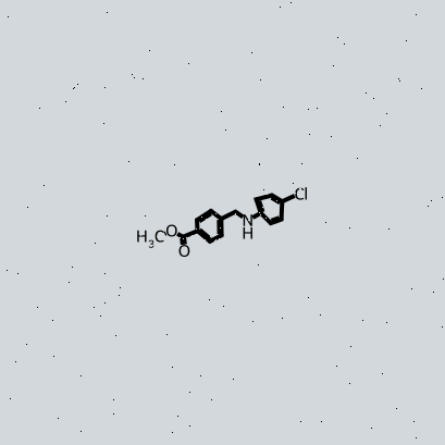 COC(=O)c1ccc(CNc2ccc(Cl)cc2)cc1